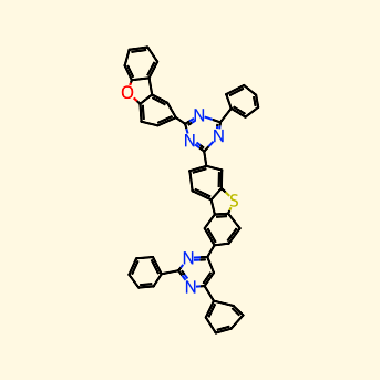 c1ccc(-c2cc(-c3ccc4sc5cc(-c6nc(-c7ccccc7)nc(-c7ccc8oc9ccccc9c8c7)n6)ccc5c4c3)nc(-c3ccccc3)n2)cc1